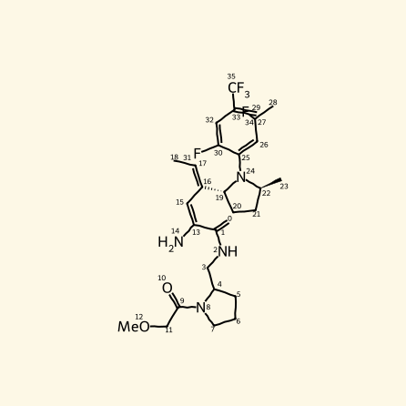 C=C(NCC1CCCN1C(=O)COC)/C(N)=C\C(=C/C)[C@H]1CC[C@H](C)N1C(=C/C(C)F)/C(F)=C\C(=C)C(F)(F)F